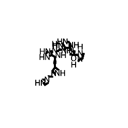 CN1CCNC1C1(O)CN(C2NCNC3NC(C4NC(C#CC5CNN(CCN6CCNC6)C5)C5NCNC5N4)NC32)C1